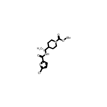 C[C@@H](NC(=O)c1ccc(Cl)s1)C1CCN(C(=O)OC(C)(C)C)CC1